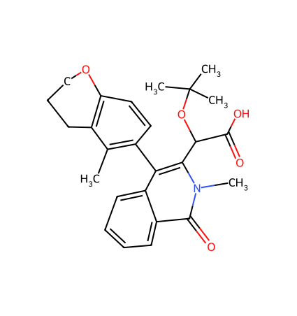 Cc1c(-c2c(C(OC(C)(C)C)C(=O)O)n(C)c(=O)c3ccccc23)ccc2c1CCCO2